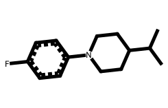 CC(C)C1CCN(c2ccc(F)cc2)CC1